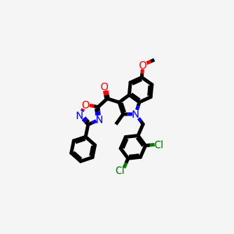 COc1ccc2c(c1)c(C(=O)c1nc(-c3ccccc3)no1)c(C)n2Cc1ccc(Cl)cc1Cl